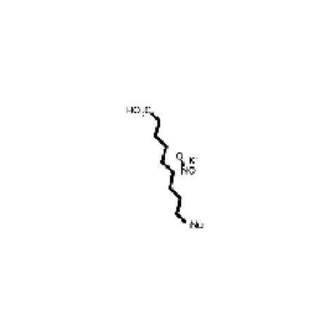 CCCCCCCCCCCCCCCCCC(=O)O.O=N[O-].[K+]